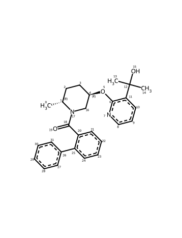 C[C@@H]1CC[C@@H](Oc2ncccc2C(C)(C)O)CN1C(=O)c1ccccc1-c1ccccc1